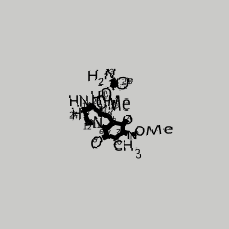 CON=C1C(=O)C2=C(C(=O)C1C)N1C[C@@H]3N[C@@H]3[C@]1(OC)[C@@H]2COC(N)=O